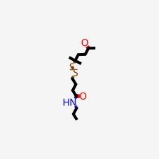 CCCNC(=O)CCCSSC(C)(C)CCC(C)=O